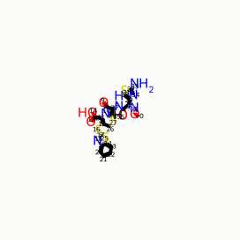 CO/N=C(\C(=O)NC1C(=O)N2C(C(=O)O)=C(Sc3nc4ccccc4s3)CS[C@H]12)c1csc(N)n1